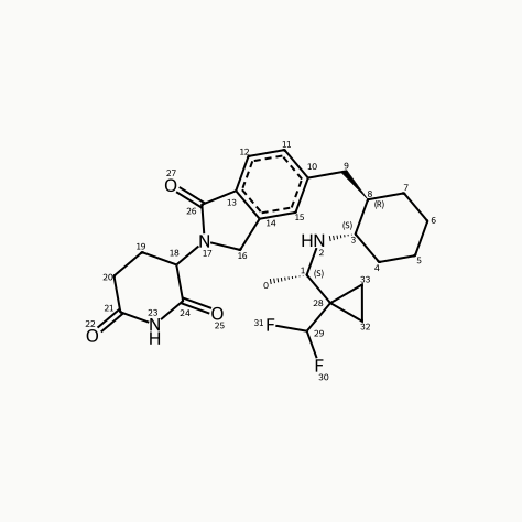 C[C@H](N[C@H]1CCCC[C@@H]1Cc1ccc2c(c1)CN(C1CCC(=O)NC1=O)C2=O)C1(C(F)F)CC1